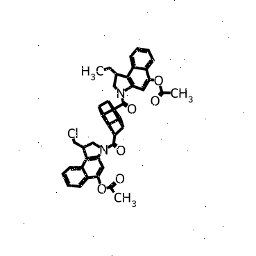 CCC1CN(C(=O)C23C4C5C2C2C3C4C52C(=O)N2CC(CCl)c3c2cc(OC(C)=O)c2ccccc32)c2cc(OC(C)=O)c3ccccc3c21